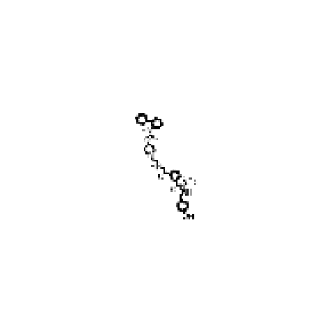 CCN(NCc1ccc(O)cc1)C(=O)c1cccc(C(=O)CNCCN2CCC(OC(=O)Nc3ccccc3-c3ccccc3)CC2)c1